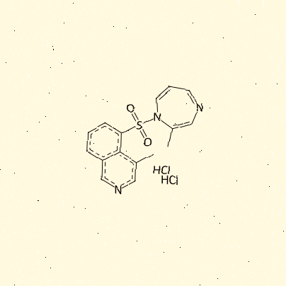 CC1=CN=CC=CN1S(=O)(=O)c1cccc2cncc(C)c12.Cl.Cl